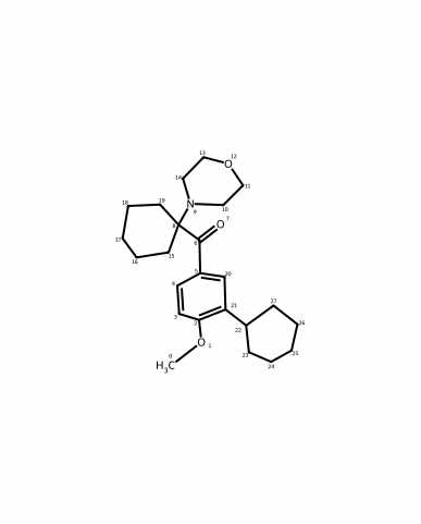 COc1ccc(C(=O)C2(N3CCOCC3)CCCCC2)cc1C1CCCCC1